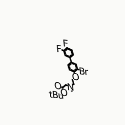 CN(CCOc1ccc(-c2ccc(F)c(F)c2)cc1Br)CC(=O)OC(C)(C)C